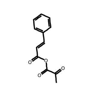 CC(=O)C(=O)OC(=O)C=Cc1ccccc1